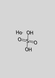 O=S(=O)(O)O.[Ho]